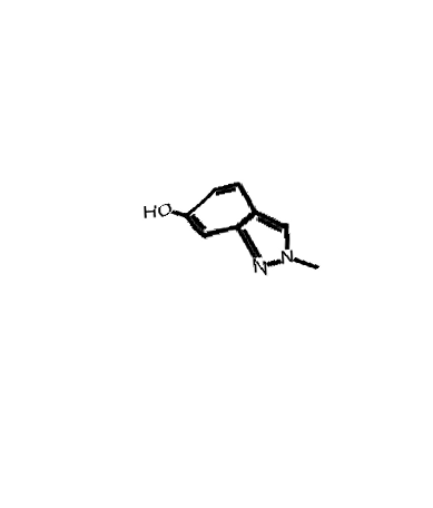 Cn1cc2ccc(O)cc2n1